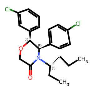 CCC[C@H](CC)N1C(=O)CO[C@@H](c2cccc(Cl)c2)[C@H]1c1ccc(Cl)cc1